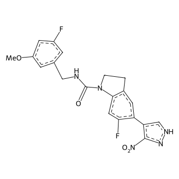 COc1cc(F)cc(CNC(=O)N2CCc3cc(-c4c[nH]nc4[N+](=O)[O-])c(F)cc32)c1